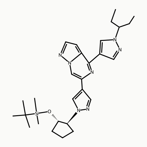 CCC(CC)n1cc(-c2nc(-c3cnn([C@H]4CCC[C@@H]4O[Si](C)(C)C(C)(C)C)c3)cn3nccc23)cn1